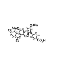 CCC(=O)c1ccc(Cl)cc1-c1cc(=O)n([C@@H](CCOC(C)(C)C)C(=O)Nc2ccc(C(=O)O)cc2)cc1OC